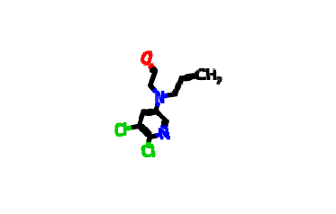 C=CCN(CC=O)c1cnc(Cl)c(Cl)c1